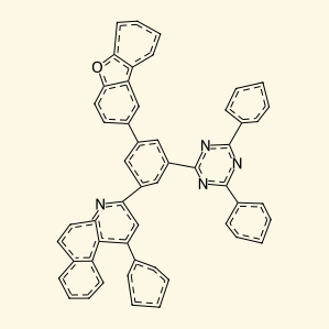 c1ccc(-c2nc(-c3ccccc3)nc(-c3cc(-c4ccc5oc6ccccc6c5c4)cc(-c4cc(-c5ccccc5)c5c(ccc6ccccc65)n4)c3)n2)cc1